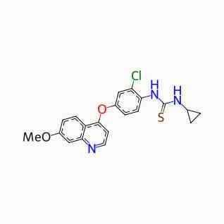 COc1ccc2c(Oc3ccc(NC(=S)NC4CC4)c(Cl)c3)ccnc2c1